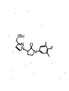 Cc1cc(N2CCC(n3ccc(CC(C)(C)C)n3)C2=O)cc(C)c1F